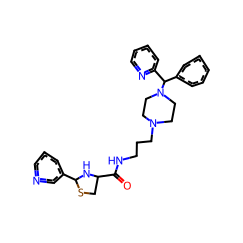 O=C(NCCCN1CCN(C(c2ccccc2)c2ccccn2)CC1)C1CSC(c2cccnc2)N1